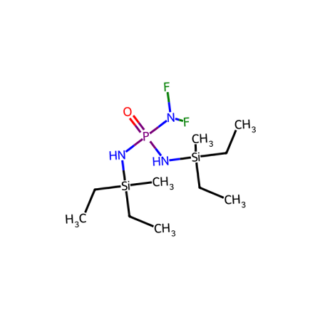 CC[Si](C)(CC)NP(=O)(N[Si](C)(CC)CC)N(F)F